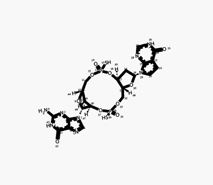 Nc1nc2c(ncn2[C@@H]2O[C@@H]3COP(=O)(S)O[C@H]4C[C@H](n5ccc6c(=O)[nH]cnc65)O[C@@H]4COP(=O)(S)O[C@@H]2[C@@H]3F)c(=O)[nH]1